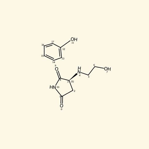 O=C1C[C@H](NCCO)C(=O)N1.Oc1ccccc1